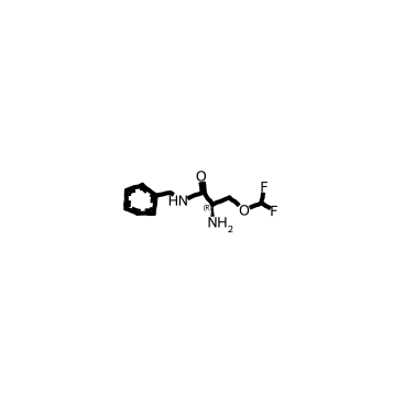 N[C@H](COC(F)F)C(=O)NCc1ccccc1